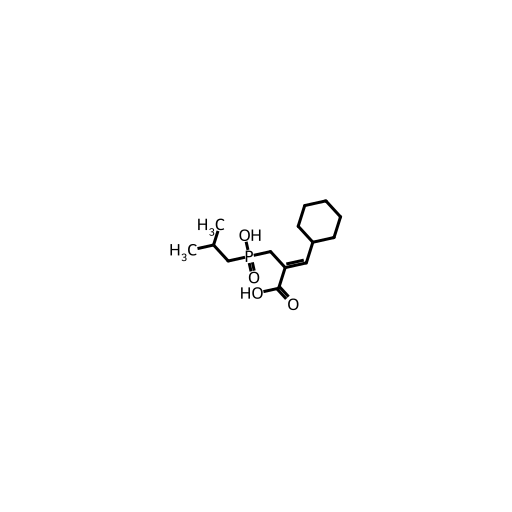 CC(C)CP(=O)(O)CC(=CC1CCCCC1)C(=O)O